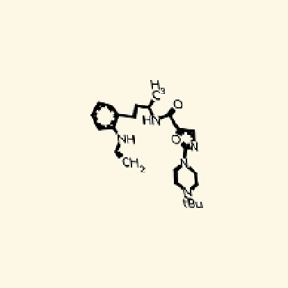 C=CNc1ccccc1CCC(C)NC(=O)c1cnc(N2CCN(C(C)(C)C)CC2)o1